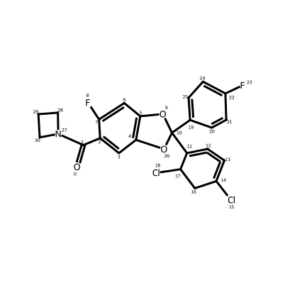 O=C(c1cc2c(cc1F)OC(C1=C=C=C(Cl)CC1Cl)(c1ccc(F)cc1)O2)N1CCC1